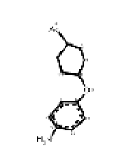 CC(=O)C1CCC(Oc2ccc(N)cc2)CC1